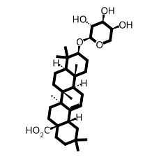 CC1(C)CC[C@]2(C(=O)O)CC[C@]3(C)C(=CC[C@@H]4[C@@]5(C)CC[C@H](O[C@@H]6OC[C@H](O)[C@H](O)[C@H]6O)C(C)(C)[C@@H]5CC[C@]43C)[C@@H]2C1